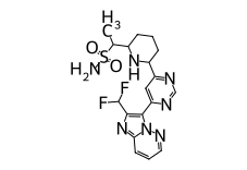 CC(C1CCCC(c2cc(-c3c(C(F)F)nc4cccnn34)ncn2)N1)S(N)(=O)=O